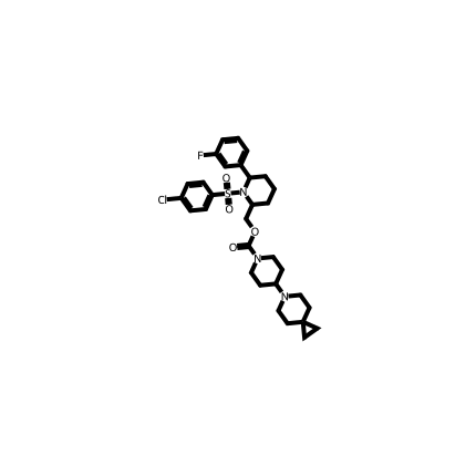 O=C(OCC1CCCC(c2cccc(F)c2)N1S(=O)(=O)c1ccc(Cl)cc1)N1CCC(N2CCC3(CC2)CC3)CC1